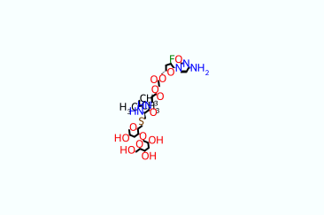 CCC(C)(C)N[C@H](CSCC1OC[C@@H](O)C[C@@H]1O[C@@H]1OC(CO)[C@@H](O)C[C@@H]1O)C(=O)NCCC(=O)OCC(=O)OC[C@@H]1C[C@H](F)[C@H](n2ccc(N)nc2=O)O1